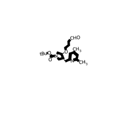 Cc1cc(C)nc(C[C@@H]2CN(C(=O)OC(C)(C)C)C[C@@H]2OCCCC=O)c1